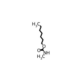 CCCCCCCOC(=O)NC